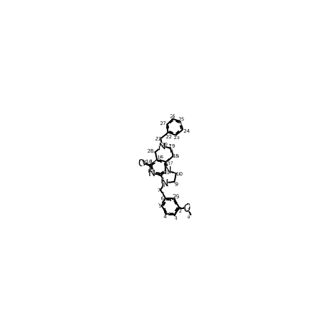 COc1cccc(CN2CCn3c2nc(=O)c2c3CCN(Cc3ccccc3)C2)c1